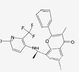 Cc1cc([C@@H](C)Nc2ccc(Cl)nc2C(F)(F)F)c2oc(-c3ccccc3)c(C)c(=O)c2c1